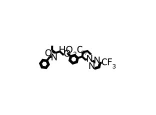 Cc1oc(-c2ccccc2)nc1CCOc1cccc(C2CN(c3nccc(C(F)(F)F)n3)CC[C@@H]2C(=O)O)c1